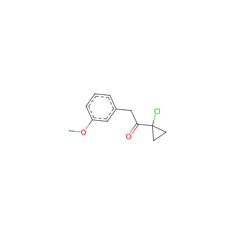 COc1cccc(CC(=O)C2(Cl)CC2)c1